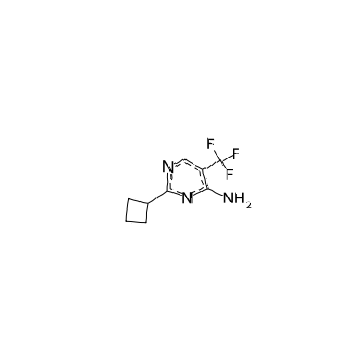 Nc1nc(C2CCC2)ncc1C(F)(F)F